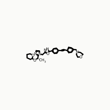 C[C@H](OC1CCCCO1)c1nccn1Cc1nnc(-c2ccc(C#Cc3ccc(CN4CCOCC4)cc3)cc2)o1